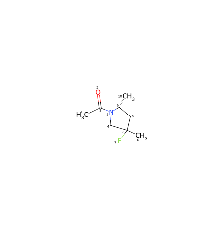 CC(=O)N1CC(C)(F)C[C@H]1C